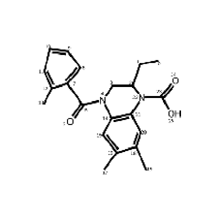 CCC1CN(C(=O)c2ccccc2C)c2cc(C)c(C)cc2N1C(=O)O